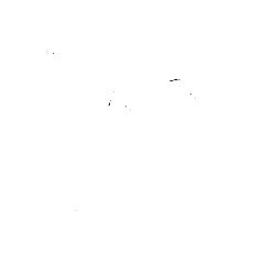 CCN(CC)C(=O)[C@@H]1C=C2c3cccc4[nH]cc(c34)C[C@H]2N(C)C1.F[B-](F)(F)F.F[P-](F)(F)(F)(F)F.[H+].[H+]